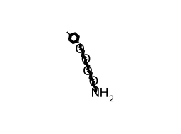 C[C@H]1CC[C@H](COCCOCCOCCOCCN)CC1